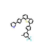 Cc1cc(-c2ccc(-c3cccc4c3sc3c(-c5ccc(-c6cccnc6)cc5)cccc34)cc2)cc(C(F)(F)F)c1